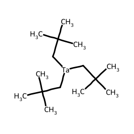 CC(C)(C)[CH2][Ta]([CH2]C(C)(C)C)[CH2]C(C)(C)C